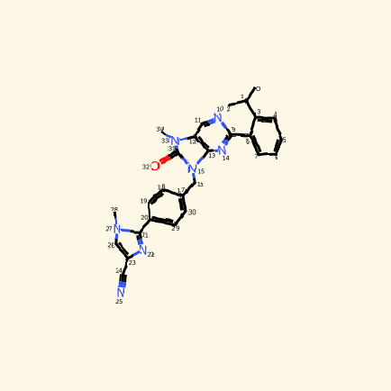 CC(C)c1ccccc1-c1ncc2c(n1)n(Cc1ccc(-c3nc(C#N)cn3C)cc1)c(=O)n2C